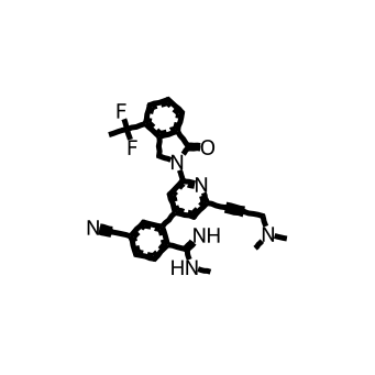 CNC(=N)c1ccc(C#N)cc1-c1cc(C#CCN(C)C)nc(N2Cc3c(cccc3C(C)(F)F)C2=O)c1